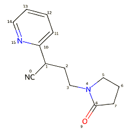 N#CC(CCN1CCCC1=O)c1ccccn1